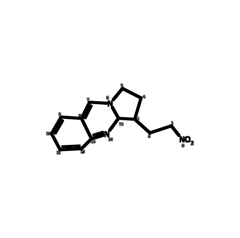 O=[N+]([O-])CCC1CCN2C=c3ccccc3=NC12